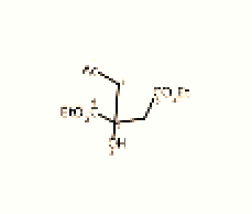 CCOC(=O)CC(O)(CC(C)=O)C(=O)OCC